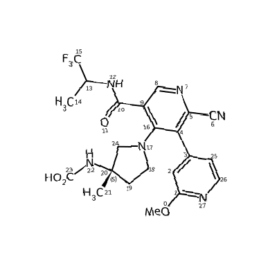 COc1cc(-c2c(C#N)ncc(C(=O)NC(C)C(F)(F)F)c2N2CC[C@](C)(NC(=O)O)C2)ccn1